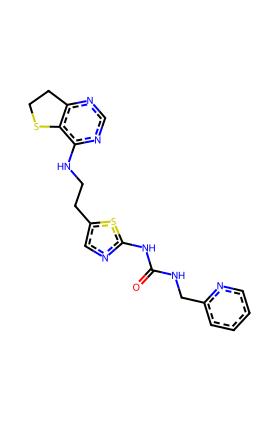 O=C(NCc1ccccn1)Nc1ncc(CCNc2ncnc3c2SCC3)s1